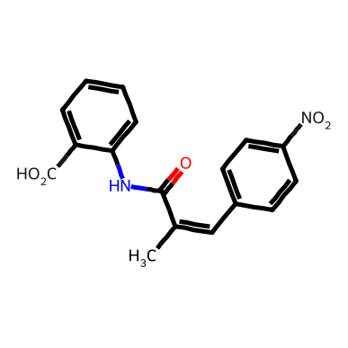 CC(=Cc1ccc([N+](=O)[O-])cc1)C(=O)Nc1ccccc1C(=O)O